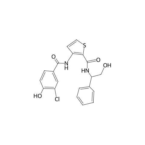 O=C(Nc1ccsc1C(=O)NC(CO)c1ccccc1)c1ccc(O)c(Cl)c1